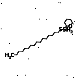 CCCCCCCCCCCCCCCCS[SiH2]C1CCCCO1